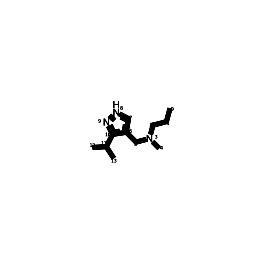 CCCN(C)Cc1c[nH]nc1C(C)C